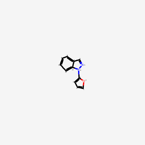 c1coc(-n2ncc3ccccc32)c1